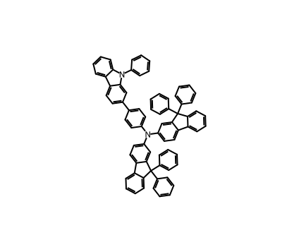 c1ccc(-n2c3ccccc3c3ccc(-c4ccc(N(c5ccc6c(c5)C(c5ccccc5)(c5ccccc5)c5ccccc5-6)c5ccc6c(c5)C(c5ccccc5)(c5ccccc5)c5ccccc5-6)cc4)cc32)cc1